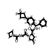 O=C(NC(c1ccccc1)c1ccc(C2CC(F)(F)C2)cn1)C1CC(F)CN1C(=O)CNC(=O)N1CCC1